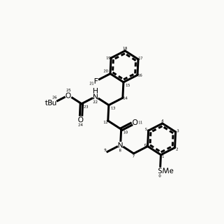 CSc1ccccc1CN(C)C(=O)CC(Cc1ccccc1F)NC(=O)OC(C)(C)C